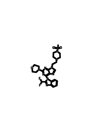 CS(=O)(=O)N1CCN(CCn2cnc3c(-n4c(C(F)F)nc5ccccc54)nc(N4CCOCC4)nc32)CC1